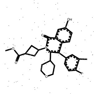 COC(=O)C1CC(n2c(C3CCOCC3)c(-c3ccc(F)c(C)c3)c3ccc(O)cc3c2=O)C1